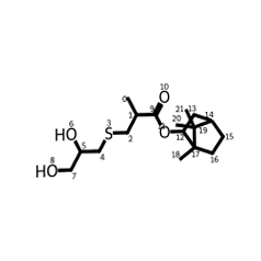 CC(CSCC(O)CO)C(=O)OC1CC2CCC1(C)C2(C)C